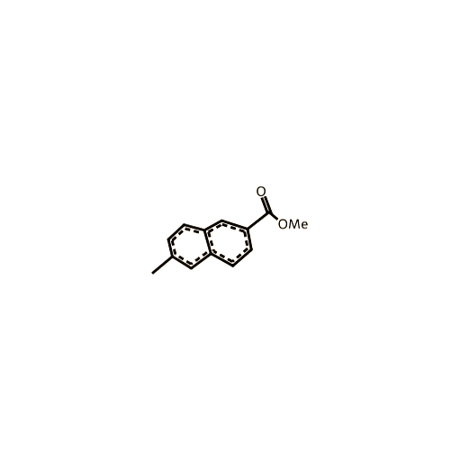 COC(=O)c1ccc2cc(C)ccc2c1